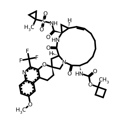 COc1ccc2nc(C(F)(F)F)c3c(c2c1)CC[C@]1(C[C@H]2C(=O)N[C@]4(C(=O)NS(=O)(=O)C5(C)CC5)C[C@H]4/C=C\CCCCC[C@H](NC(=O)OC4(C)CCC4)C(=O)N2C1)O3